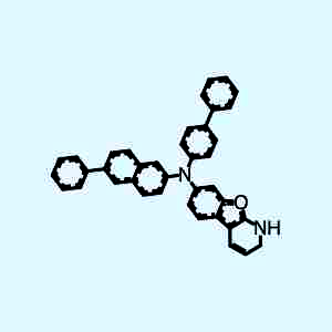 C1=Cc2c(oc3cc(N(c4ccc(-c5ccccc5)cc4)c4ccc5cc(-c6ccccc6)ccc5c4)ccc23)NC1